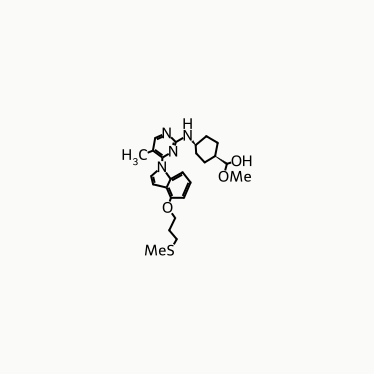 COC(O)[C@H]1CC[C@@H](Nc2ncc(C)c(-n3ccc4c(OCCCSC)cccc43)n2)CC1